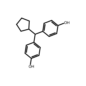 Oc1ccc(C(c2ccc(O)cc2)C2CCCC2)cc1